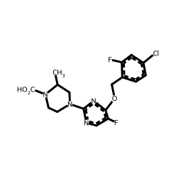 CC1CN(c2ncc(F)c(OCc3ccc(Cl)cc3F)n2)CCN1C(=O)O